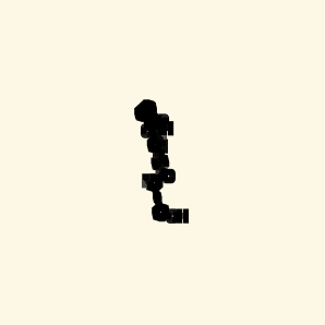 O=C(NS(=O)(=O)CC12CC3CC(CC(C3)C1)C2)c1ccc(N2CCN(C(=O)c3cncc(C#Cc4cccc(O)c4)c3)CC2)nn1